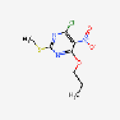 CCCOc1nc(SC)nc(Cl)c1[N+](=O)[O-]